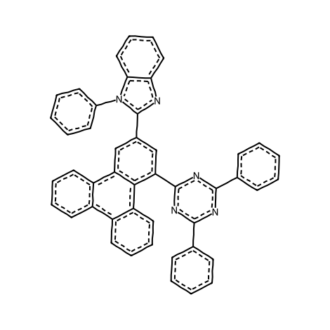 c1ccc(-c2nc(-c3ccccc3)nc(-c3cc(-c4nc5ccccc5n4-c4ccccc4)cc4c5ccccc5c5ccccc5c34)n2)cc1